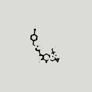 Cn1nc(-c2cn(Cc3ccc(C#N)cc3)nn2)c2c1C(=O)N(CC1(S(=O)(=O)C(C)(C)CO)CC1)CC2